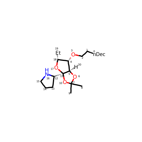 CCCCCCCCCCCCO[C@@H]1[C@H]2OC(C)(C)O[C@@]2(C2CCCN2)O[C@@H]1CC